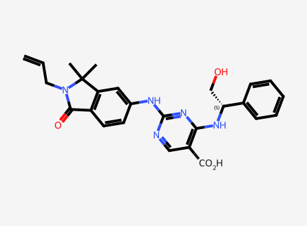 C=CCN1C(=O)c2ccc(Nc3ncc(C(=O)O)c(N[C@H](CO)c4ccccc4)n3)cc2C1(C)C